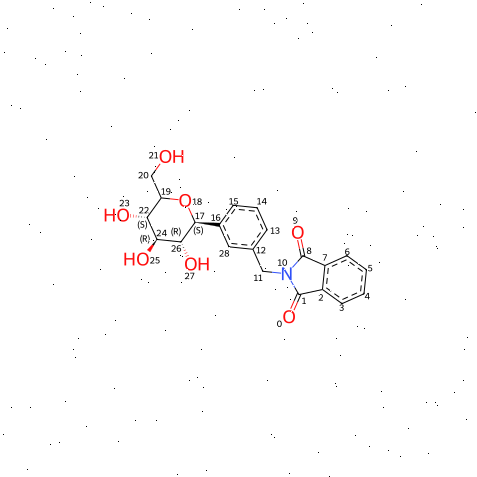 O=C1c2ccccc2C(=O)N1Cc1cccc([C@@H]2OC(CO)[C@@H](O)[C@H](O)[C@H]2O)c1